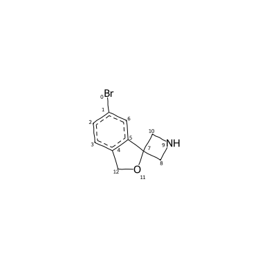 Brc1ccc2c(c1)C1(CNC1)OC2